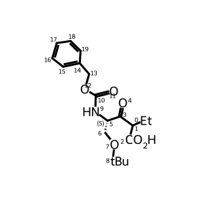 CCC(C(=O)O)C(=O)[C@H](COC(C)(C)C)NC(=O)OCc1ccccc1